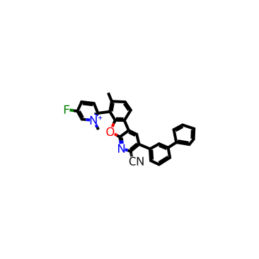 Cc1ccc2c(oc3nc(C#N)c(-c4cccc(-c5ccccc5)c4)cc32)c1-c1ccc(F)c[n+]1C